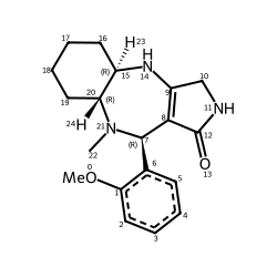 COc1ccccc1[C@@H]1C2=C(CNC2=O)N[C@@H]2CCCC[C@H]2N1C